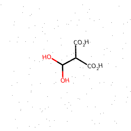 O=C(O)C(C(=O)O)C(O)O